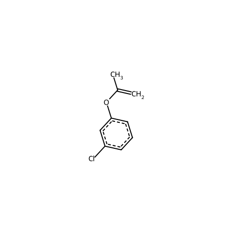 C=C(C)Oc1cccc(Cl)c1